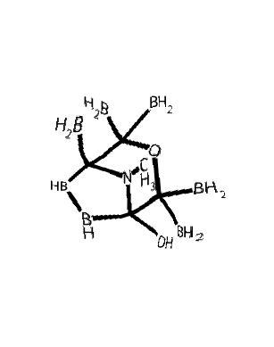 BC1(B)OC(B)(B)C2(O)BBC1(B)N2C